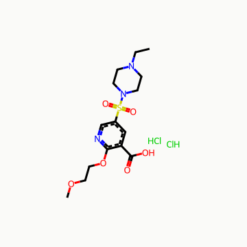 CCN1CCN(S(=O)(=O)c2cnc(OCCOC)c(C(=O)O)c2)CC1.Cl.Cl